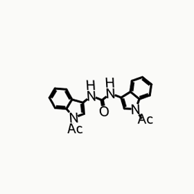 CC(=O)n1cc(NC(=O)Nc2cn(C(C)=O)c3ccccc23)c2ccccc21